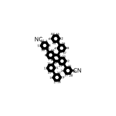 N#Cc1ccc(-c2ccc3c(-c4cccc(-c5ccccc5)c4)c4cc(-c5cccc(C#N)c5)ccc4c(-c4cccc(-c5ccccc5)c4)c3c2)cc1